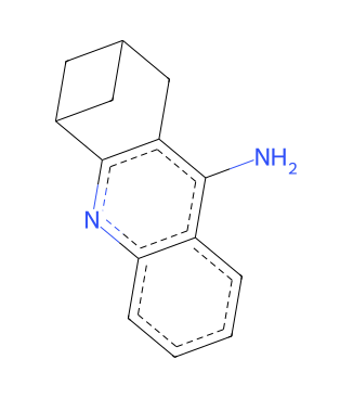 Nc1c2c(nc3ccccc13)C1CC(C2)C1